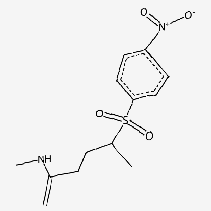 C=C(CCC(C)S(=O)(=O)c1ccc([N+](=O)[O-])cc1)NC